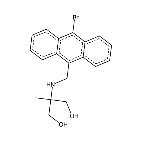 CC(CO)(CO)NCc1c2ccccc2c(Br)c2ccccc12